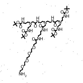 CC(C)(C)OC(=O)NCCN(CCNC(=O)OC(C)(C)C)CC(=O)NCCN(CCNC(=O)CN(CCNC(=O)OC(C)(C)C)CCNC(=O)OC(C)(C)C)CC(=O)NCCCNC(=O)CCOCCOCCOCCOCCN